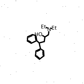 CCN(CC)CC(O)CC(c1ccccc1)c1ccccc1